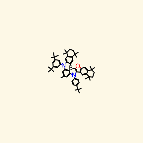 Cc1cc2c3c(c1)N(c1ccc(C(C)(C)C)cc1)c1c(oc4cc5c(cc14)C(C)(C)CCC5(C)C)B3c1cc3c(cc1N2c1cc(C(C)(C)C)cc(C(C)(C)C)c1)C(C)(C)CCC3(C)C